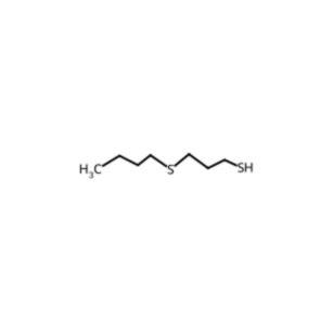 CCCCSCCCS